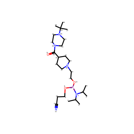 CC(C)N(C(C)C)P(OCCC#N)OCCN1CCC(C(=O)N2CCN(C(C)(C)C)CC2)CC1